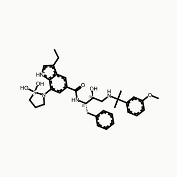 CCc1c[nH]c2c(N3CCCS3(O)O)cc(C(=O)N[C@@H](Cc3ccccc3)[C@@H](O)CNC(C)(C)c3cccc(OC)c3)cc12